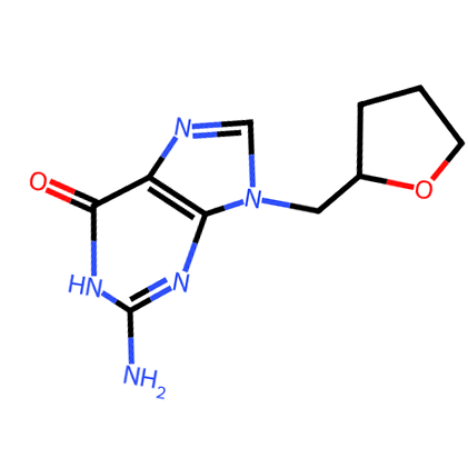 Nc1nc2c(ncn2CC2CCCO2)c(=O)[nH]1